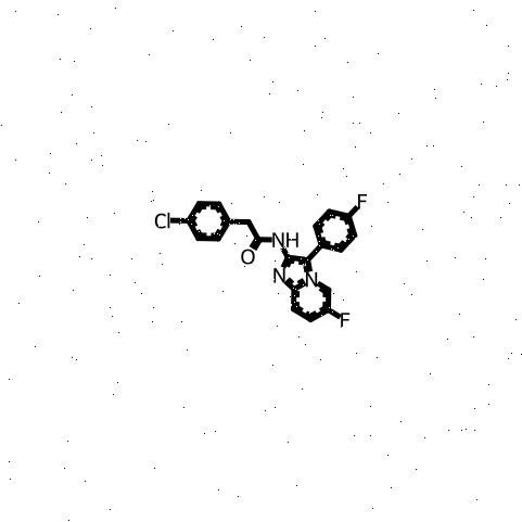 O=C(Cc1ccc(Cl)cc1)Nc1nc2ccc(F)cn2c1-c1ccc(F)cc1